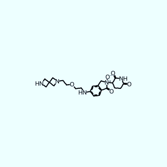 O=C1CCC([N+]2([O-])Cc3cc(NCCOCCN4CC5(CNC5)C4)ccc3C2=O)C(=O)N1